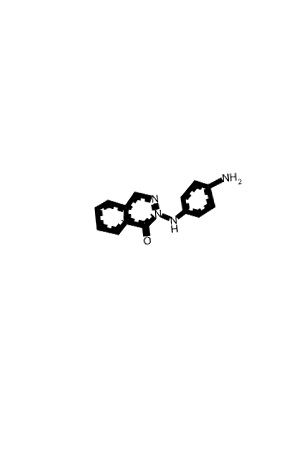 Nc1ccc(Nn2ncc3ccccc3c2=O)cc1